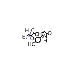 C=C(C)/C(=C/CC)Oc1cc(C2C=CC(=O)N2)ccc1O